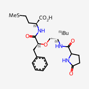 CC[C@H](C)[C@@H](CO[C@@H](Cc1ccccc1)C(=O)N[C@@H](CCSC)C(=O)O)NC(=O)C1CCC(=O)N1